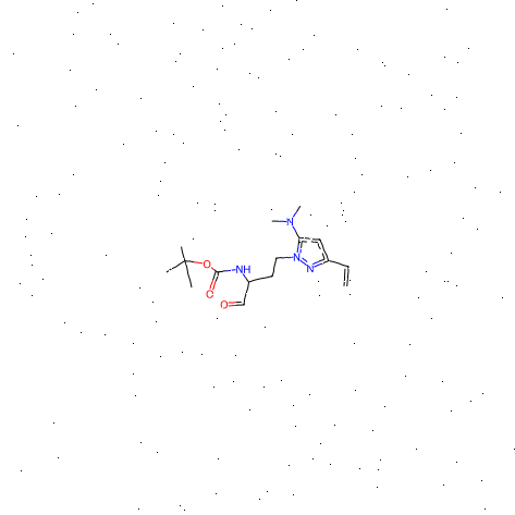 C=Cc1cc(N(C)C)n(CCC(C=O)NC(=O)OC(C)(C)C)n1